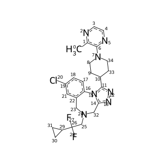 Cc1nccnc1N1CCC(c2nnc3n2-c2ccc(Cl)cc2CN(CC(F)(F)C2CC2)C3)CC1